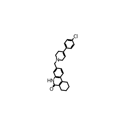 O=c1[nH]c2cc(CN3CC=C(c4ccc(Cl)cc4)CC3)ccc2c2c1CCCC2